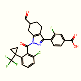 O=CC1CCc2c(-c3ccc(C(=O)O)cc3F)nn(C(=O)c3c(Cl)cccc3C3(C(F)(F)F)CC3)c2C1